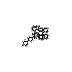 c1ccc(-c2ccc(-c3nc(-c4ccccc4)nc(-c4cccc5oc6ccc7c(c6c45)Sc4ccccc4C74c5ccccc5-c5ccccc54)n3)cc2)cc1